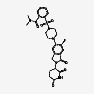 CN(C)C(=O)c1ccccc1S(=O)(=O)N1CCN(c2cc3c(cc2F)C(=O)N(C2CCC(=O)NC2=O)C3)CC1